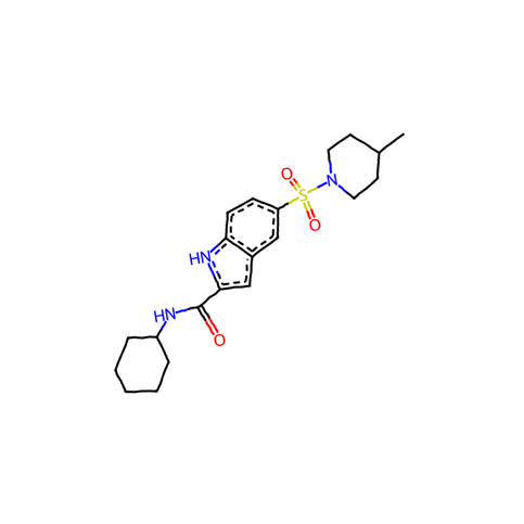 CC1CCN(S(=O)(=O)c2ccc3[nH]c(C(=O)NC4CCCCC4)cc3c2)CC1